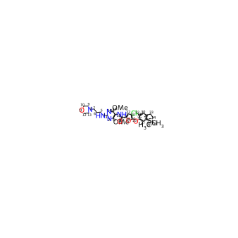 COc1nc(NCCCN2CCOCC2)nc(OC)c1NC(=O)c1ccc(Oc2cc3c(cc2Cl)CC[Si]3(C)C)o1